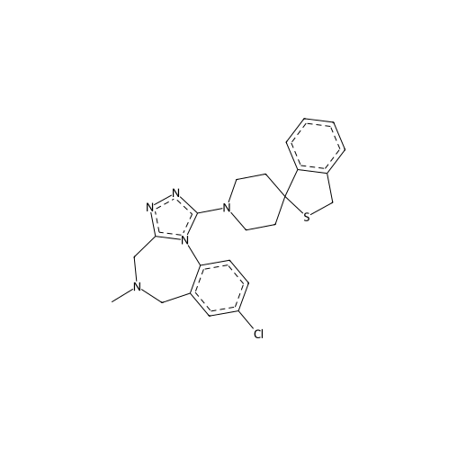 CN1Cc2cc(Cl)ccc2-n2c(nnc2N2CCC3(CC2)SCc2ccccc23)C1